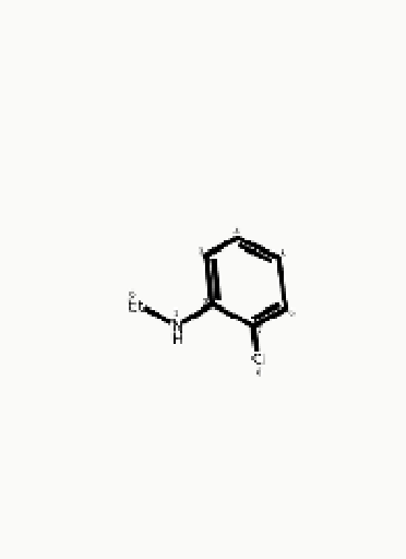 CCNc1ccccc1Cl